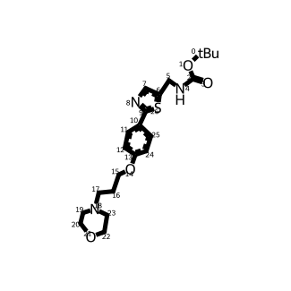 CC(C)(C)OC(=O)NCc1cnc(-c2ccc(OCCCN3CCOCC3)cc2)s1